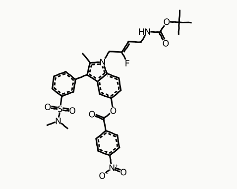 Cc1c(-c2cccc(S(=O)(=O)N(C)C)c2)c2cc(OC(=O)c3ccc([N+](=O)[O-])cc3)ccc2n1CC(F)=CCNC(=O)OC(C)(C)C